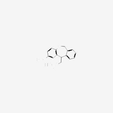 Cc1ccc2c(c1)C(CC(=O)O)c1ccccc1CO2